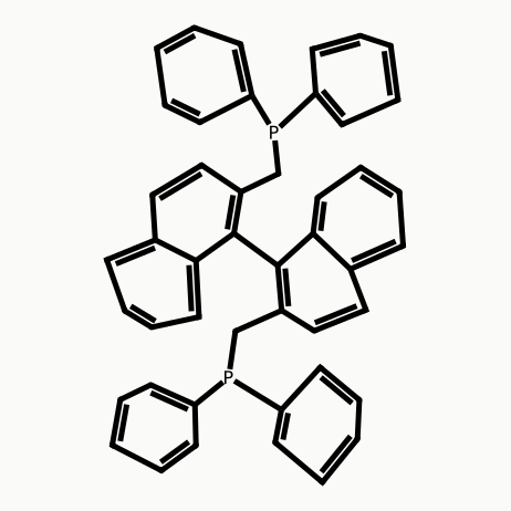 c1ccc(P(Cc2ccc3ccccc3c2-c2c(CP(c3ccccc3)c3ccccc3)ccc3ccccc23)c2ccccc2)cc1